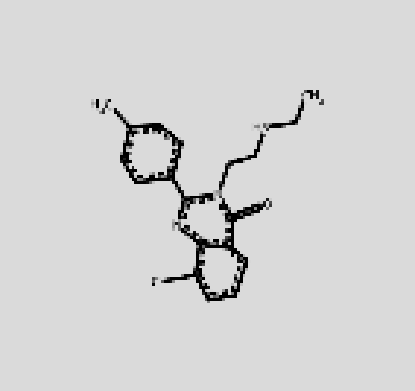 CCNCCn1c(-c2ccc(C)cc2)nc2c(Cl)cccc2c1=O